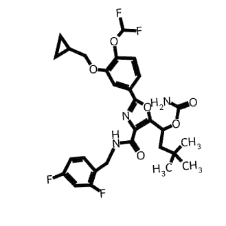 CC(C)(C)CC(OC(N)=O)c1oc(-c2ccc(OC(F)F)c(OCC3CC3)c2)nc1C(=O)NCc1ccc(F)cc1F